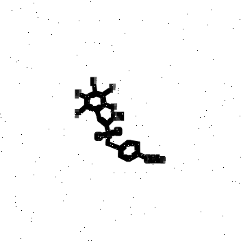 COc1ccc(CS(=O)(=O)/C(C#N)=C/c2c(F)c(F)c(F)c(F)c2F)cc1